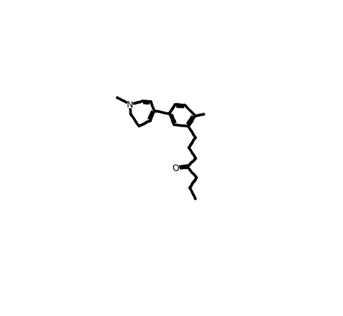 CCCC(=O)CCCc1cc(C2=CCCN(C)C=C2)ccc1C